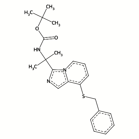 CC(C)(C)OC(=O)NC(C)(C)c1ncc2c(SCc3ccccc3)cccn12